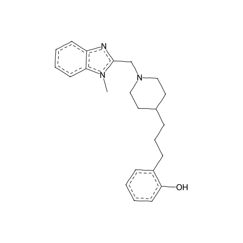 Cn1c(CN2CCC(CCCc3ccccc3O)CC2)nc2ccccc21